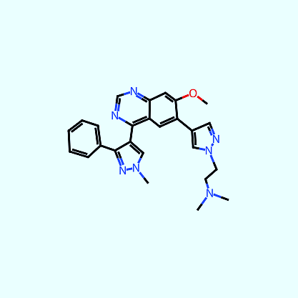 COc1cc2ncnc(-c3cn(C)nc3-c3ccccc3)c2cc1-c1cnn(CCN(C)C)c1